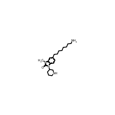 Cn1c(=O)n(C2CCCNC2)c2ccc(CCCCCCCCN)cc21